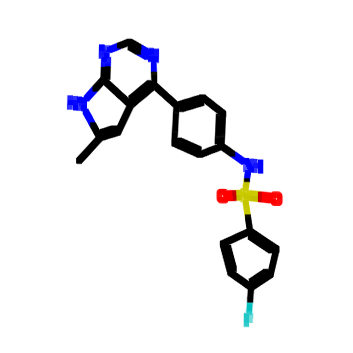 Cc1cc2c(-c3ccc(NS(=O)(=O)c4ccc(F)cc4)cc3)ncnc2[nH]1